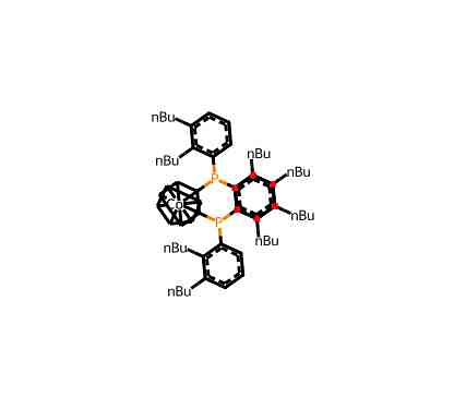 CCCCc1cccc(P(c2cccc(CCCC)c2CCCC)[C]23[CH]4[CH]5[CH]6[C]2(P(c2cccc(CCCC)c2CCCC)c2cccc(CCCC)c2CCCC)[Co]54632789[CH]3[CH]2[CH]7[CH]8[CH]39)c1CCCC